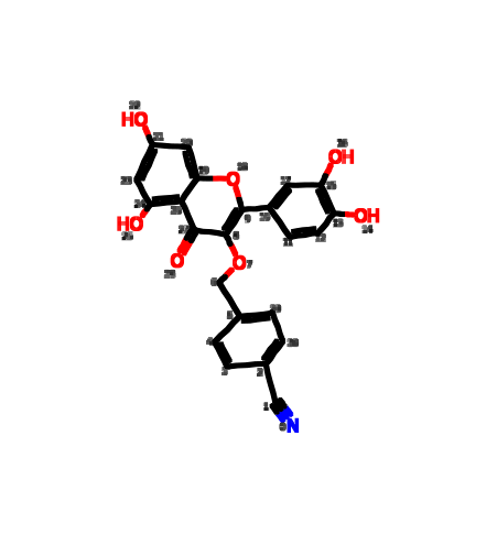 N#Cc1ccc(COc2c(-c3ccc(O)c(O)c3)oc3cc(O)cc(O)c3c2=O)cc1